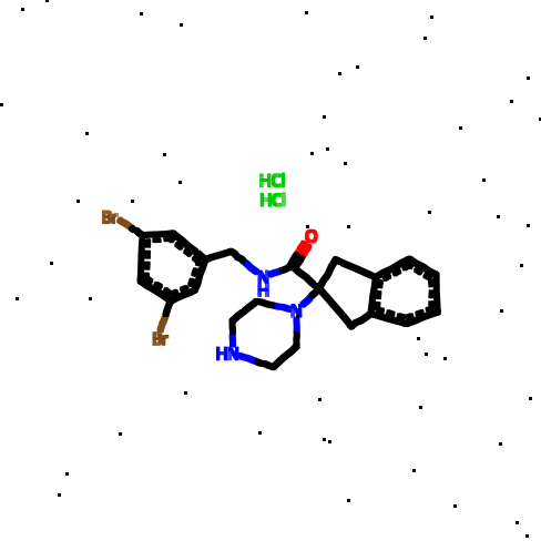 Cl.Cl.O=C(NCc1cc(Br)cc(Br)c1)C1(N2CCNCC2)Cc2ccccc2C1